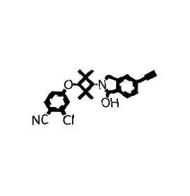 C#Cc1ccc2c(c1)CN([C@H]1C(C)(C)[C@H](Oc3ccc(C#N)c(Cl)c3)C1(C)C)C2O